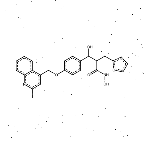 Cc1cc(COc2ccc(C(O)C(Cc3ccco3)C(=O)NO)cc2)c2ccccc2n1